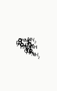 CC(NC(=O)[C@@H]1C[C@]2(CN)C[C@@H]2N1C(=O)CNC(=O)c1ccc2c(c1)-c1ccccc1C2(F)F)c1cc(C(=N)N)cs1